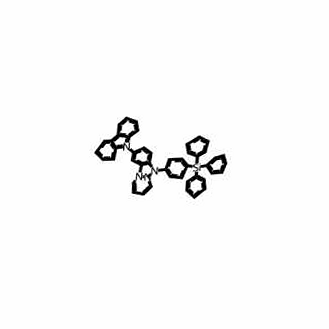 C1=CN2c3cc(-n4c5ccccc5c5ccccc54)ccc3N(c3ccc([Si](c4ccccc4)(c4ccccc4)c4ccccc4)cc3)N2C=C1